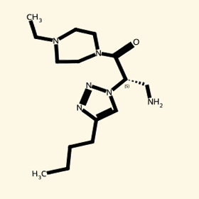 CCCCc1cn([C@@H](CN)C(=O)N2CCN(CC)CC2)nn1